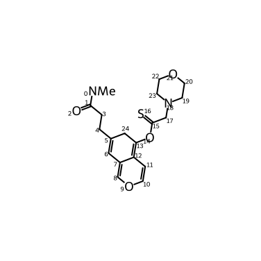 CNC(=O)CCC1=CC2=COC=CC2=C(OC(=S)CN2CCOCC2)C1